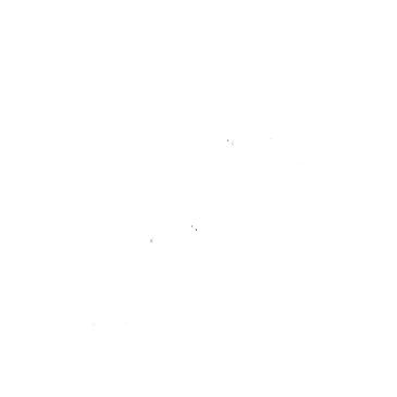 CC1(C)C(/C=C/C=C2\N(CCC(=O)O)c3ccc4ccccc4c3C2(C)C)=[N+](CCC(=O)O)c2ccc3c(S(=O)(=O)O)cccc3c21